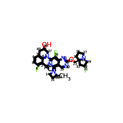 C#Cc1c(F)ccc2c1N(c1nc(N3CC[C@@H]3C)c3cnc(OC[C@@]45CCCN4C[C@H](F)C5)nc3c1F)CC(O)C2